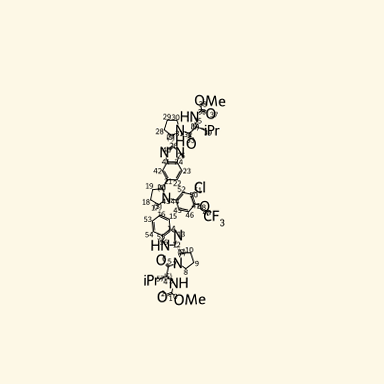 COC(=O)N[C@H](C(=O)N1CCC[C@H]1c1nc2cc([C@@H]3CC[C@@H](c4ccc5[nH]c([C@@H]6CCCN6C(=O)[C@@H](NC(=O)OC)C(C)C)nc5c4)N3c3ccc(OC(F)(F)F)c(Cl)c3)ccc2[nH]1)C(C)C